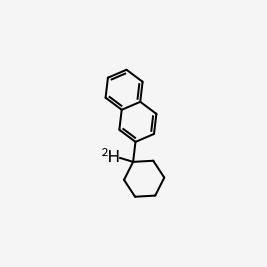 [2H]C1(c2ccc3ccccc3c2)CCCCC1